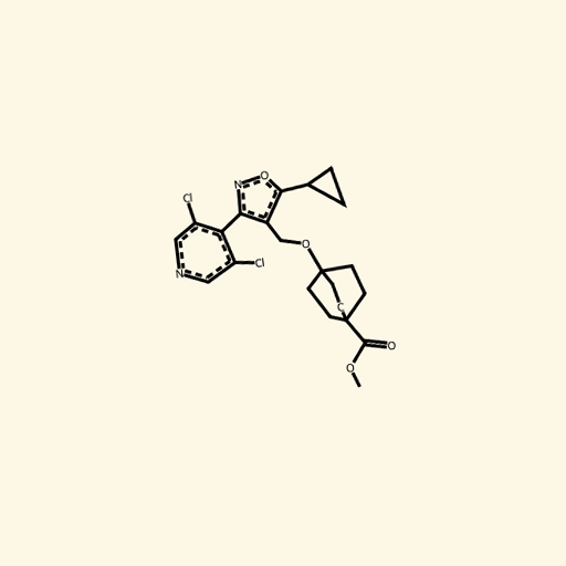 COC(=O)C12CCC(OCc3c(-c4c(Cl)cncc4Cl)noc3C3CC3)(CC1)CC2